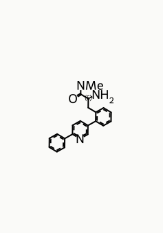 CNC(=O)[C@@H](N)Cc1ccccc1-c1ccc(-c2ccccc2)nc1